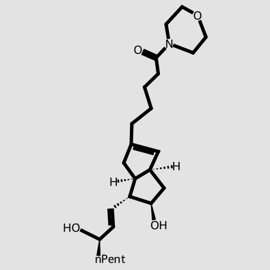 CCCCC[C@@H](O)/C=C/[C@@H]1[C@H]2CC(CCCCC(=O)N3CCOCC3)=C[C@H]2C[C@H]1O